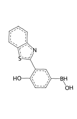 OBc1ccc(O)c(-c2nc3ccccc3s2)c1